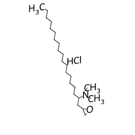 CCCCCCCCCCCCCCCCCC(CC1CO1)N(C)C.Cl